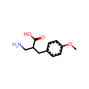 COc1ccc(CC(CN)C(=O)O)cc1